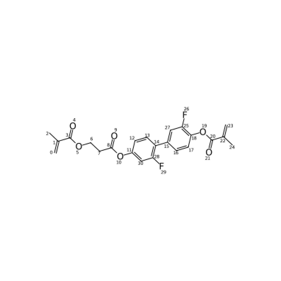 C=C(C)C(=O)OCCC(=O)Oc1ccc(-c2ccc(OC(=O)C(=C)C)c(F)c2)c(F)c1